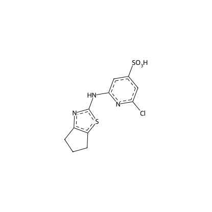 O=S(=O)(O)c1cc(Cl)nc(Nc2nc3c(s2)CCC3)c1